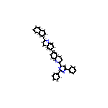 c1ccc(-c2cc(-c3ccc4cc(-c5ccc6nc(-c7ccc8ccccc8c7)ccc6c5)ccc4n3)nc(-c3ccccc3)n2)cc1